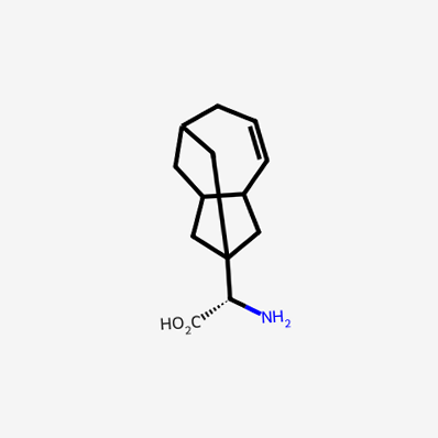 N[C@H](C(=O)O)C12CC3CC=CC(C1)C(C3)C2